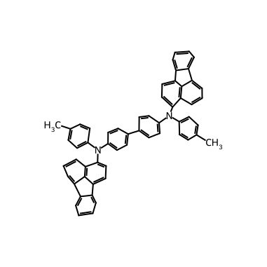 Cc1ccc(N(c2ccc(-c3ccc(N(c4ccc(C)cc4)c4ccc5c6c(cccc46)-c4ccccc4-5)cc3)cc2)c2ccc3c4c(cccc24)-c2ccccc2-3)cc1